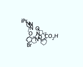 CC(C)n1cc(COc2ccc(Br)c3c2[C@@H](CN2CC4(CC4)CC2=O)N(C(=O)[C@@H]2CCCC[C@@H]2C(=O)O)CC3)nn1